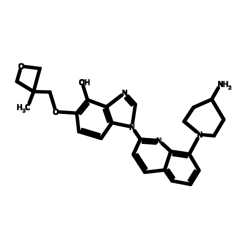 CC1(COc2ccc3c(ncn3-c3ccc4cccc(N5CCC(N)CC5)c4n3)c2O)COC1